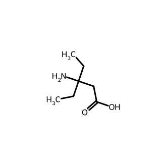 CCC(N)(CC)CC(=O)O